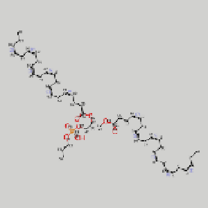 CC/C=C\C/C=C\C/C=C\C/C=C\C/C=C\C/C=C\CCC(=O)OC[C@H](COP(=O)(O)OCCC)OC(=O)CC/C=C\C/C=C\C/C=C\C/C=C\C/C=C\C/C=C\CC